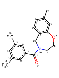 Cc1ccc2c(c1)OCCN(C(=O)c1cc(C(F)(F)F)cc(C(F)(F)F)c1)C2